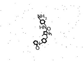 CCn1c(C(=O)NCc2ccc(CN)cc2)cc(C)c1Cc1ccc(Cn2ccccc2=O)cc1